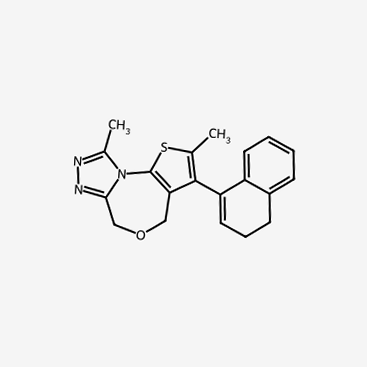 Cc1sc2c(c1C1=CCCc3ccccc31)COCc1nnc(C)n1-2